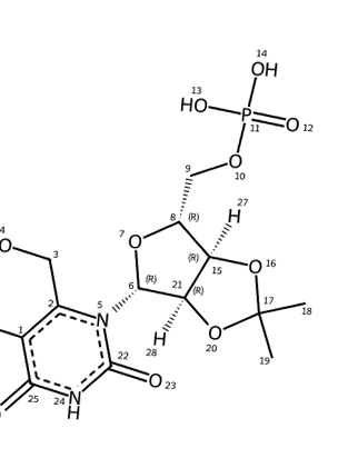 Cc1c(CO)n([C@@H]2O[C@H](COP(=O)(O)O)[C@H]3OC(C)(C)O[C@H]32)c(=O)[nH]c1=O